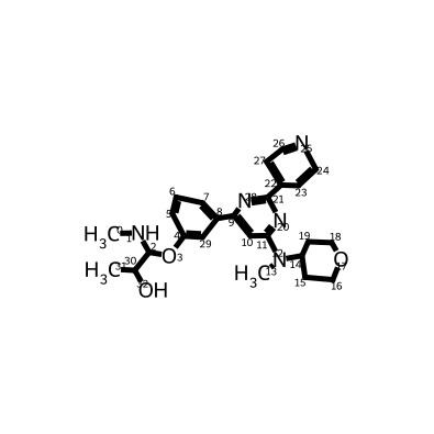 CNC(Oc1cccc(-c2cc(N(C)C3CCOCC3)nc(-c3ccncc3)n2)c1)C(C)O